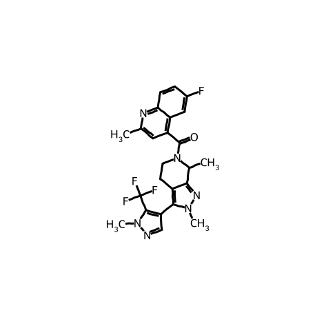 Cc1cc(C(=O)N2CCc3c(nn(C)c3-c3cnn(C)c3C(F)(F)F)C2C)c2cc(F)ccc2n1